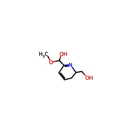 COC(O)C1=NC(CO)CC=C1